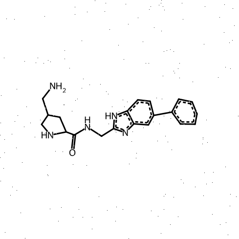 NCC1CNC(C(=O)NCc2nc3cc(-c4ccccc4)ccc3[nH]2)C1